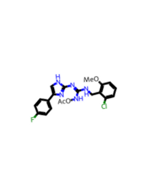 COc1cccc(Cl)c1CNC(=Nc1nc(-c2ccc(F)cc2)c[nH]1)NOC(C)=O